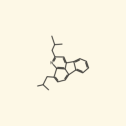 CC(C)Cc1cc2c3c(ccc(CC(C)C)c3n1)-c1ccccc1-2